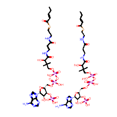 CCC=CC(=O)SCCNC(=O)CCNC(=O)C(O)C(C)(C)COP(=O)(O)OP(=O)(O)OC[C@H]1O[C@@H](n2cnc3c(N)ncnc32)[C@H](O)[C@@H]1OP(=O)(O)O.CCC=CC(=O)SCCNC(=O)CCNC(=O)C(O)C(C)(C)COP(=O)(O)OP(=O)(O)OC[C@H]1O[C@@H](n2cnc3c(N)ncnc32)[C@H](O)[C@@H]1OP(=O)(O)O